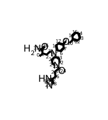 CC(CCN(c1ccc(OCc2ccccc2)cc1)C1CCN(C(=O)[CH]Cc2cnc[nH]2)CC1)C(N)=O